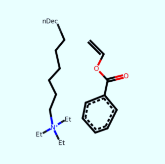 C=COC(=O)c1ccccc1.CCCCCCCCCCCCCCCC[N+](CC)(CC)CC